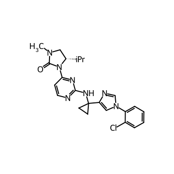 CC(C)[C@H]1CN(C)C(=O)N1c1ccnc(NC2(c3cn(-c4ccccc4Cl)cn3)CC2)n1